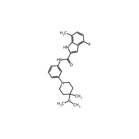 Cc1ccc(F)c2cc(C(=O)Nc3cccc(N4CCC(C)(N(C)C)CC4)c3)[nH]c12